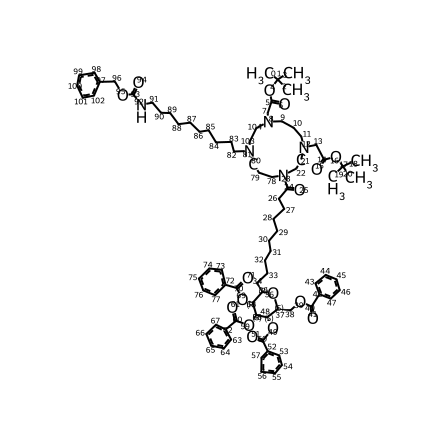 CC(C)(C)OC(=O)CN1CCCN(CC(=O)OC(C)(C)C)CCN(C(=O)CCCCCCCCC[C@H]2O[C@@H](COC(=O)c3ccccc3)[C@H](OC(=O)c3ccccc3)[C@@H](OC(=O)c3ccccc3)[C@@H]2OC(=O)c2ccccc2)CCCN(CCCCCCCCCCNC(=O)OCc2ccccc2)CC1